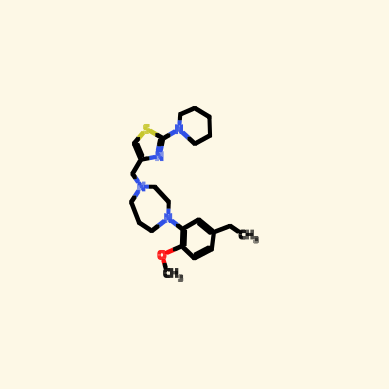 CCc1ccc(OC)c(N2CCCN(Cc3csc(N4CCCCC4)n3)CC2)c1